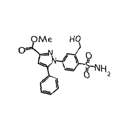 COC(=O)c1cc(-c2ccccc2)n(-c2ccc(S(N)(=O)=O)c(CO)c2)n1